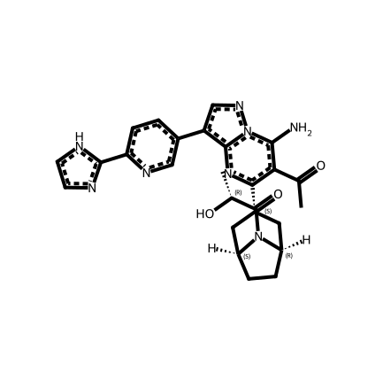 CC(=O)c1c([C@@H]2C[C@H]3CC[C@@H](C2)N3C(=O)[C@@H](C)O)nc2c(-c3ccc(-c4ncc[nH]4)nc3)cnn2c1N